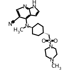 CN1CCN(S(=O)(=O)C[C@H]2CC[C@H](N(C)c3c(C#N)cnc4[nH]ccc34)CC2)CC1